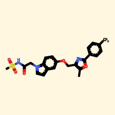 Cc1oc(-c2ccc(C(F)(F)F)cc2)nc1COc1ccc2c(ccn2CC(=O)NS(C)(=O)=O)c1